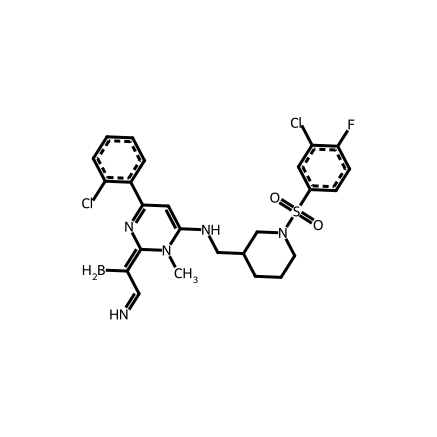 B/C(C=N)=C1\N=C(c2ccccc2Cl)C=C(NCC2CCCN(S(=O)(=O)c3ccc(F)c(Cl)c3)C2)N1C